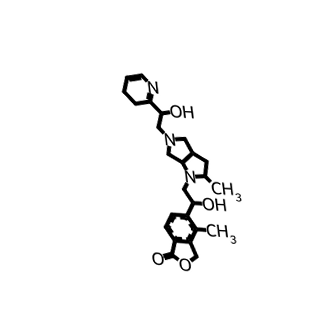 Cc1c(C(O)CN2C(C)CC3CN(CC(O)C4=NC=CCC4)CC32)ccc2c1COC2=O